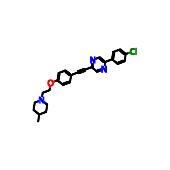 CC1CCN(CCOc2ccc(C#Cc3cnc(-c4ccc(Cl)cc4)cn3)cc2)CC1